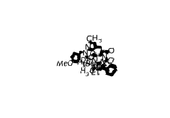 CC[C@@H](NC(=O)N1C(=O)[C@H](Cc2cc(C)nc(N(Cc3ccc(OC)cc3)C(=O)OC(C)(C)C)c2)[C@H]1C(=O)N(C)c1nccn1C)c1ccccc1